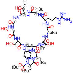 CC[C@H](C)C1NC(=O)[C@H]([C@H](O)C(C)C)NC(=O)[C@@H](NC(=O)[C@H](CC(C)(C)C)NC(=O)[C@@H](CC(C)(C)C)NC(=O)OC(C)(C)C)[C@@H](c2ccccc2)NC(=O)C(CO)NC(=O)[C@H](CO)NC(=O)CNC(=O)[C@H]([C@H](C)O)NC(=O)[C@H]([C@@H](C)CC)NC(=O)[C@@H](CCCNC(=N)N)NC1=O